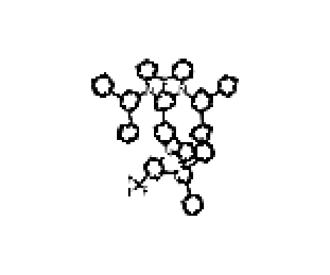 FC(F)(F)c1ccc(-n2c3ccccc3c3cc(-c4cc5c6c(c4)N(c4cc(-c7ccccc7)cc(-c7ccccc7)c4)c4ccccc4B6c4ccccc4N5c4cc(-c5ccccc5)cc(-c5ccccc5)c4)ccc32)c(-c2nc(-c3ccccc3)cc(-c3ccccc3)n2)c1